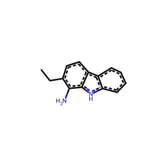 CCc1ccc2c([nH]c3ccccc32)c1N